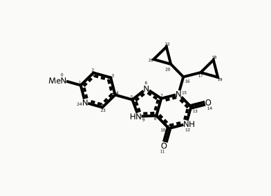 CNc1ccc(-c2nc3c([nH]2)c(=O)[nH]c(=O)n3C(C2CC2)C2CC2)cn1